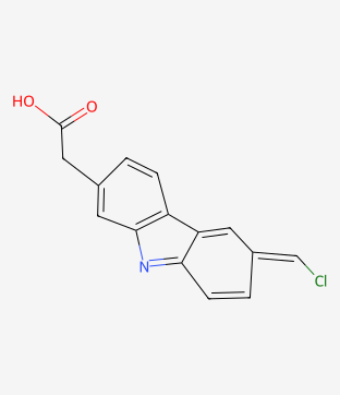 O=C(O)Cc1ccc2c(c1)N=c1ccc(=CCl)cc1-2